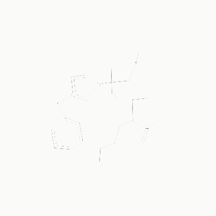 CC(C)(C)CC(C)(C)n1cc[n+](Cc2ccccc2)c1.CCCCC(CC)C(=O)[O-]